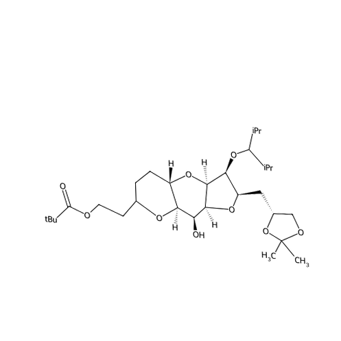 CC(C)C(O[C@@H]1[C@@H]2O[C@H]3CCC(CCOC(=O)C(C)(C)C)O[C@@H]3[C@H](O)[C@@H]2O[C@@H]1C[C@@H]1COC(C)(C)O1)C(C)C